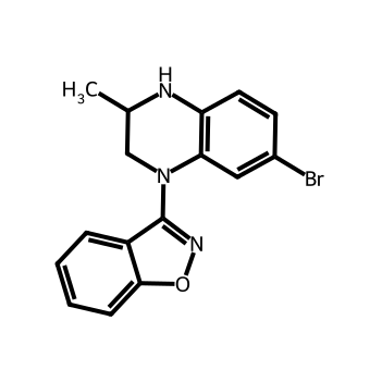 CC1CN(c2noc3ccccc23)c2cc(Br)ccc2N1